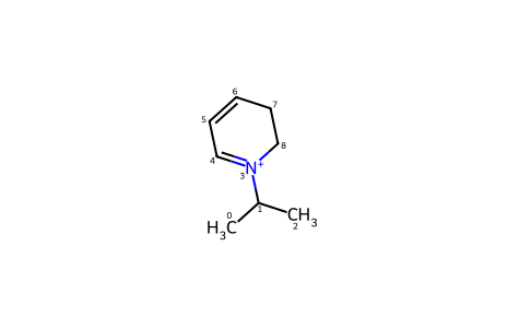 CC(C)[N+]1=CC=CCC1